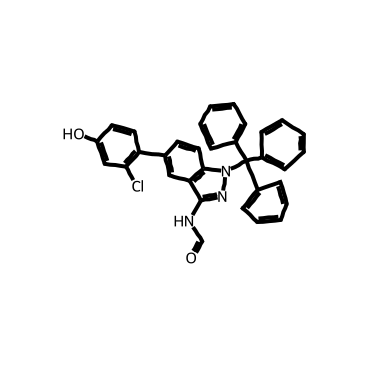 O=CNc1nn(C(c2ccccc2)(c2ccccc2)c2ccccc2)c2ccc(-c3ccc(O)cc3Cl)cc12